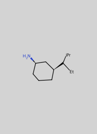 CCC(C(C)C)[C@H]1CCC[C@@H](N)C1